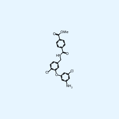 COC(=O)c1ccc(C(=O)NCc2ccc(Cl)c(Oc3cc(N)cc(Cl)c3)c2)cc1